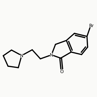 O=C1c2ccc(Br)cc2CN1CCN1CCCC1